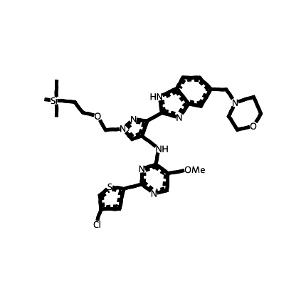 COc1cnc(-c2cc(Cl)cs2)nc1Nc1cn(COCC[Si](C)(C)C)nc1-c1nc2cc(CN3CCOCC3)ccc2[nH]1